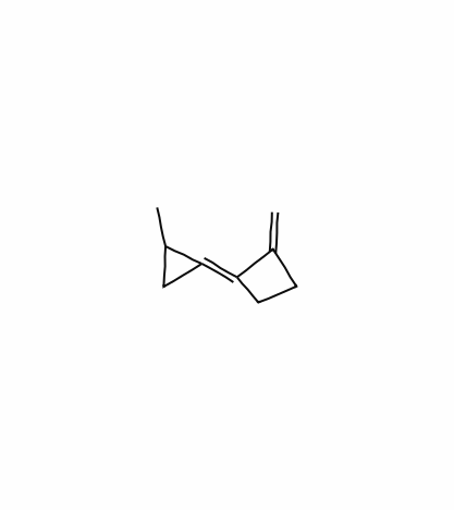 C=C1CCC1=C1CC1C